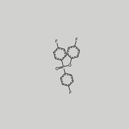 O=P(Oc1ccc(F)cc1)(c1ccc(F)cc1)c1ccc(F)cc1